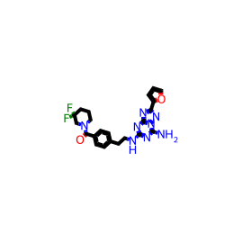 Nc1nc(NCCc2ccc(C(=O)N3CCCC(F)(F)C3)cc2)nc2nc(-c3ccco3)nn12